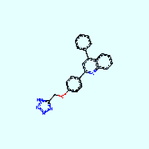 c1ccc(-c2cc(-c3ccc(OCc4nnn[nH]4)cc3)nc3ccccc23)cc1